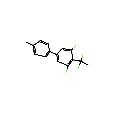 Cc1ccc(-c2cc(F)c(C(C)(F)F)c(F)c2)cc1